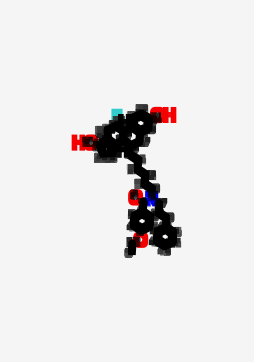 CCOc1ccc(C(=O)N(CCCCCC[C@@H]2Cc3cc(O)ccc3[C@@H]3[C@@H]2[C@@H]2CC[C@H](O)[C@@]2(C)C[C@@H]3F)CCCc2ccccc2)cc1